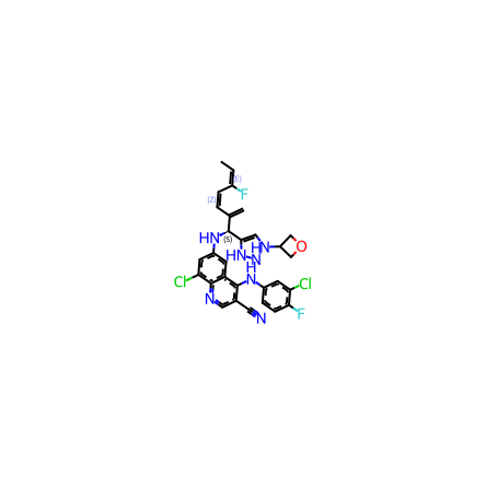 C=C(/C=C\C(F)=C/C)[C@H](Nc1cc(Cl)c2ncc(C#N)c(Nc3ccc(F)c(Cl)c3)c2c1)C1=CN(C2COC2)NN1